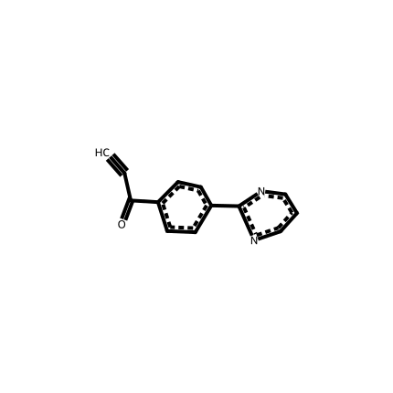 C#CC(=O)c1ccc(-c2ncccn2)cc1